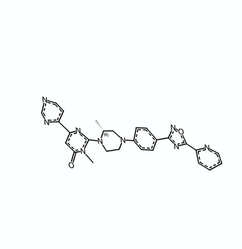 C[C@@H]1CN(c2ccc(-c3noc(-c4ccccn4)n3)cc2)CCN1c1nc(-c2ccncn2)cc(=O)n1C